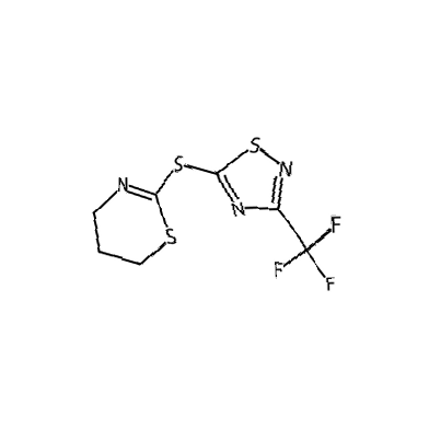 FC(F)(F)c1nsc(SC2=NCCCS2)n1